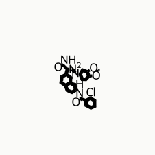 NC(=O)c1nn(-c2ccc3c(c2)OCO3)c2c1ccc1ccc(NC(=O)c3ccccc3Cl)cc12